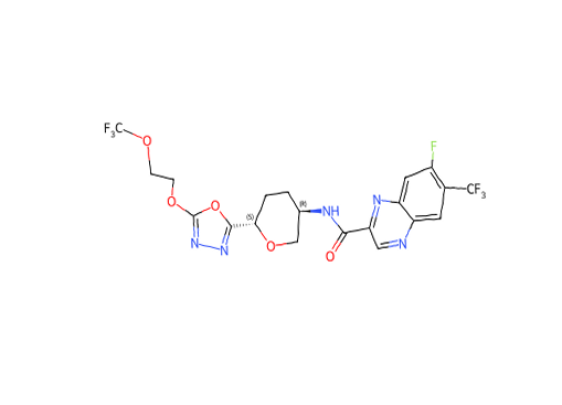 O=C(N[C@@H]1CC[C@@H](c2nnc(OCCOC(F)(F)F)o2)OC1)c1cnc2cc(C(F)(F)F)c(F)cc2n1